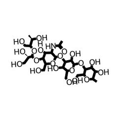 CC(=O)NC1C(OC2C(O)C(CO)OC(OC3C(CO)OC(C)C(O)C3O)C2O)OC(CO)C(OC(OC(CO)[C@@H](C)O)[C@@H](O)CO)C1O